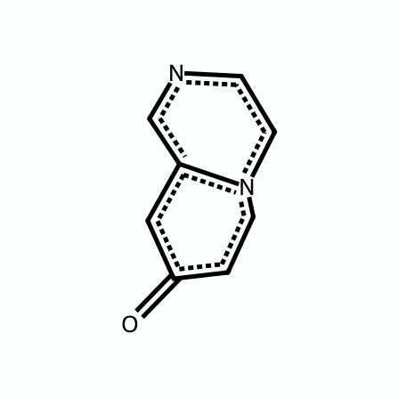 O=c1ccn2ccncc2c1